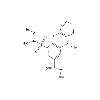 CCCCNc1cc(C(=O)OC(C)(C)C)cc(S(=O)(=O)N(C)OCCCC)c1Oc1ccccc1